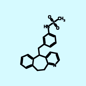 CS(=O)(=O)Nc1cccc(CC2c3ccccc3CCc3ncccc32)c1